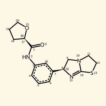 O=C(Nc1cccc([C@H]2CN3CCSC3=N2)c1)[C@H]1CCCO1